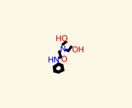 O=C(CN(CCO)CCO)Nc1ccccc1